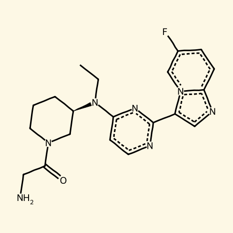 CCN(c1ccnc(-c2cnc3ccc(F)cn23)n1)[C@@H]1CCCN(C(=O)CN)C1